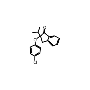 CC(C)C1(Oc2ccc(Cl)cc2)Cc2ccccc2C1=O